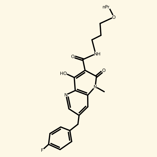 CCCOCCCNC(=O)c1c(O)c2ncc(Cc3ccc(F)cc3)cc2n(C)c1=O